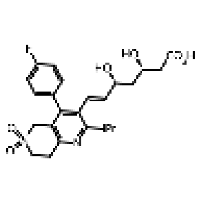 CC(C)c1nc2c(c(-c3ccc(F)cc3)c1/C=C/[C@@H](O)C[C@@H](O)CC(=O)O)CS(=O)(=O)CC2